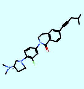 CC(C)CC#Cc1ccc2c(c1)CCN(c1ccc(N3CC[C@@H](N(C)C)C3)c(F)c1)C2=O